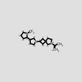 C=C(C)N1CCC2(CC(N3CCC(C4CCCN4C(F)(F)F)C3)C2)C1